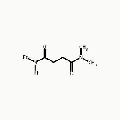 CCN(CC)C(=O)CCC(=O)N(C)C